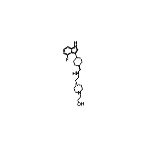 OCCN1CCN(CCNC=C2CCC(c3c[nH]c4cccc(F)c34)CC2)CC1